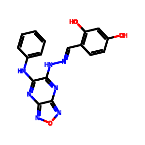 Oc1ccc(C=NNc2nc3nonc3nc2Nc2ccccc2)c(O)c1